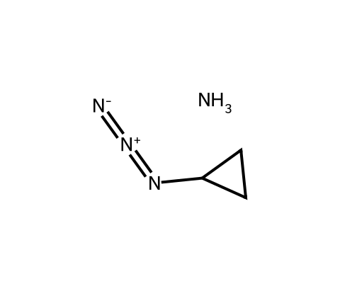 N.[N-]=[N+]=NC1CC1